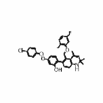 CC1=CC(C)(C)Nc2ccc(-c3ccc(OOc4ccc(Cl)cc4)cc3O)c(COc3cc(F)ccc3C)c21